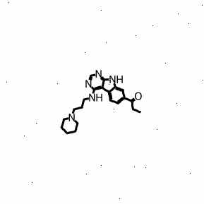 CCC(=O)c1ccc2c(c1)[nH]c1ncnc(NCCCN3CCCCC3)c12